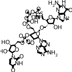 COC[C@H]1[C@@H](O)[C@H](n2c[n+](C)c3c(=O)[nH]c(N)nc32)O[C@@H]1CSP(=O)(O)OP(=O)(O)OP(=O)(O)OC[C@H]1O[C@@H](n2cnc3c(N)ncnc32)[C@H](OC)[C@@H]1OP(=O)([O-])OC[C@H]1O[C@@H](n2ccc(=O)[nH]c2=O)[C@H](O)[C@@H]1O